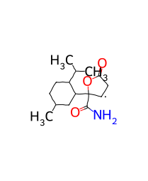 CC1CCC(C(C)C)C(C2(C(N)=O)[CH]CC(=O)O2)C1